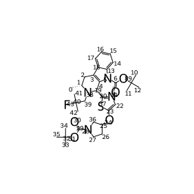 C[C@@H]1Cc2c(n(C(=O)OC(C)(C)C)c3ccccc23)[C@@H](c2ncc(O[C@H]3CCN(C(=O)OC(C)(C)C)C3)s2)N1CC(C)(C)F